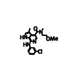 COCCN(C)C(=O)c1cnc(Nc2cccc(Cl)c2)c2[nH]cc(C)c12